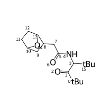 CC(C)(C)C(=O)C(NC(=O)CC1CC2CCC1O2)C(C)(C)C